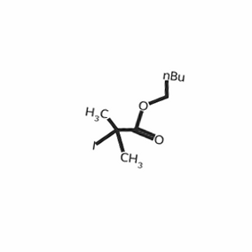 CCCCCOC(=O)C(C)(C)I